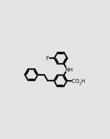 O=C(O)c1ccc(CCc2ccccc2)cc1Nc1cccc(F)c1